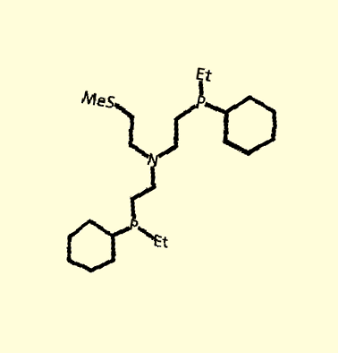 CCP(CCN(CCSC)CCP(CC)C1CCCCC1)C1CCCCC1